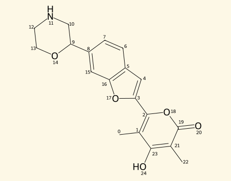 Cc1c(-c2cc3ccc(C4CNCCO4)cc3o2)oc(=O)c(C)c1O